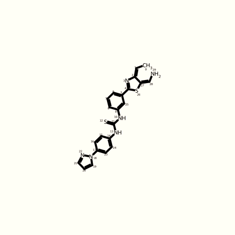 C/C=c1/nc(-c2cccc(NC(=S)Nc3ccc(-n4cccn4)cc3)c2)s/c1=C/N